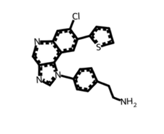 NCCc1ccc(-n2cnc3cnc4cc(Cl)c(-c5cccs5)cc4c32)cc1